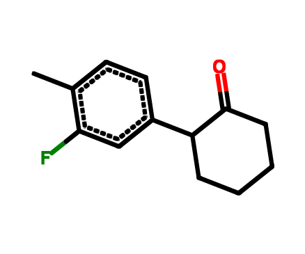 Cc1ccc(C2CCCCC2=O)cc1F